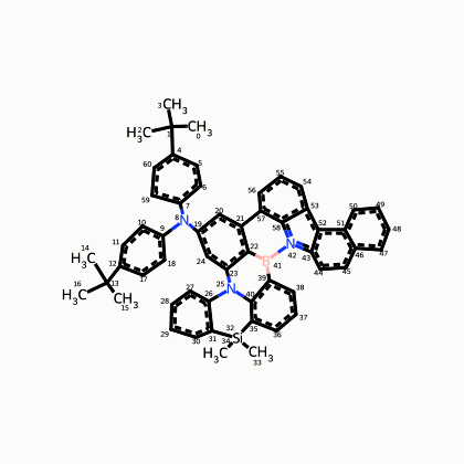 CC(C)(C)c1ccc(N(c2ccc(C(C)(C)C)cc2)c2cc3c4c(c2)N2c5ccccc5[Si](C)(C)c5cccc(c52)B4n2c4ccc5ccccc5c4c4cccc-3c42)cc1